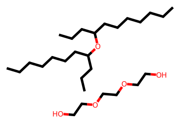 CCCCCCCC(CCC)OC(CCC)CCCCCCC.OCCOCCOCCO